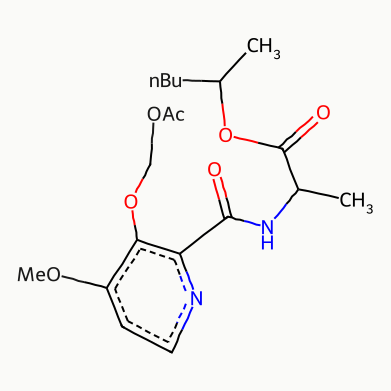 CCCCC(C)OC(=O)C(C)NC(=O)c1nccc(OC)c1OCOC(C)=O